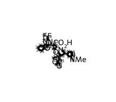 CNc1cc(-c2cnc(O[C@H]3C[C@@H](C(=O)O)N(c4nc(C(F)F)nc5c4oc4ccccc45)C3)c(N3CCOC4(COC4)[C@@H]3C)c2)ccn1